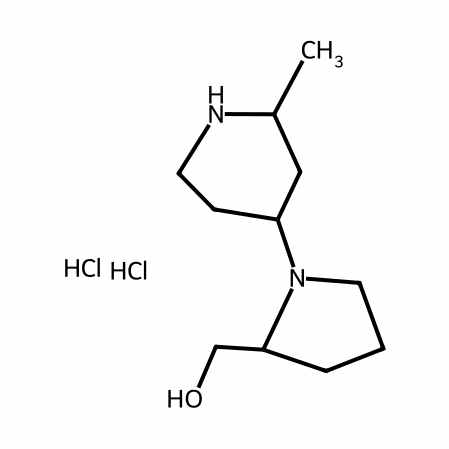 CC1CC(N2CCCC2CO)CCN1.Cl.Cl